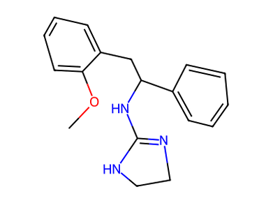 COc1ccccc1CC(NC1=NCCN1)c1ccccc1